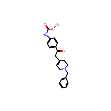 CC(C)(C)OC(=O)Nc1ccc(C(=O)CC2=CCN(Cc3ccccc3)CC2)cc1